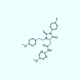 COc1ccc(CCN2C(=S)N(c3ccc(F)cc3)C(=O)C2CC(=O)Nc2ncc(OC)cn2)cc1